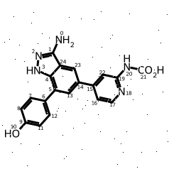 Nc1n[nH]c2c(-c3ccc(O)cc3)cc(-c3ccnc(NC(=O)O)c3)cc12